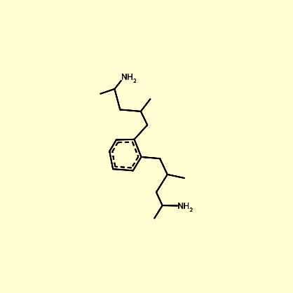 CC(N)CC(C)Cc1ccccc1CC(C)CC(C)N